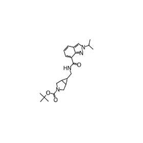 CC(C)n1cc2cccc(C(=O)NCC3C4CN(C(=O)OC(C)(C)C)CC34)c2n1